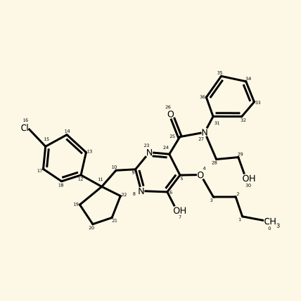 CCCCOc1c(O)nc(CC2(c3ccc(Cl)cc3)CCCC2)nc1C(=O)N(CCO)c1ccccc1